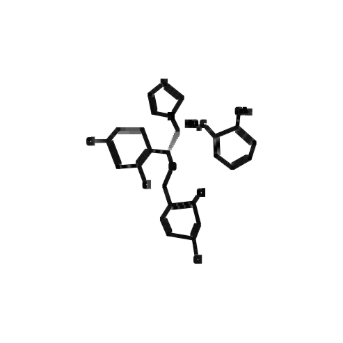 CC(=O)Oc1ccccc1C(=O)O.Clc1ccc(CO[C@@H](Cn2ccnc2)c2ccc(Cl)cc2Cl)c(Cl)c1